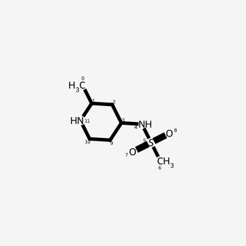 CC1CC(NS(C)(=O)=O)CCN1